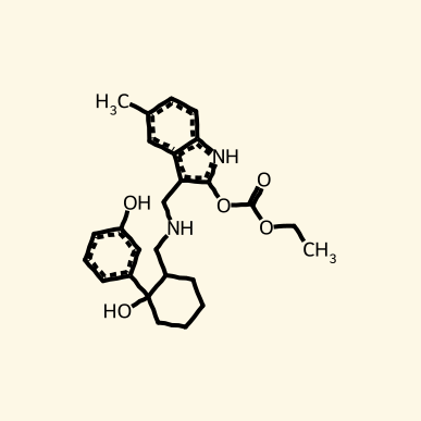 CCOC(=O)Oc1[nH]c2ccc(C)cc2c1CNCC1CCCCC1(O)c1cccc(O)c1